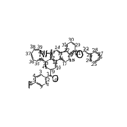 O=C(c1ccc(F)cc1)C1C=c2c(ccc3c2=CCc2c(OCc4ccccc4)cccc2-3)C(C2=CC=CC=CN2)C1